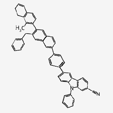 Cc1c(-c2cc3ccc(-c4ccc(-c5ccc6c(c5)c5ccc(C#N)cc5n6-c5ccccc5)cc4)cc3cc2Cc2ccccc2)ccc2c1CCC=C2